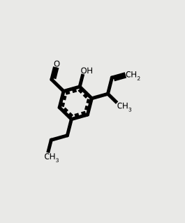 C=CC(C)c1cc(CCC)cc(C=O)c1O